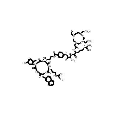 CC(=O)CN1CCN(CC(=O)O)CCN(CC(=O)O)CCN(CC(=O)N[C@@H](CCCNC(=N)N)C(=O)N[C@@H](C)C(=O)Nc2ccc(C(=O)NCCC[C@@H]3C(=O)N[C@@H](CCCNC(=N)N)C(=O)N[C@@H](Cc4ccc5ccccc5c4)C(=O)NCC(=O)N[C@H](Cc4ccc(O)cc4)C(=O)N3C)cc2)CC1